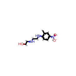 Cc1cc([N+](=O)[O-])ccc1NCCNCCO